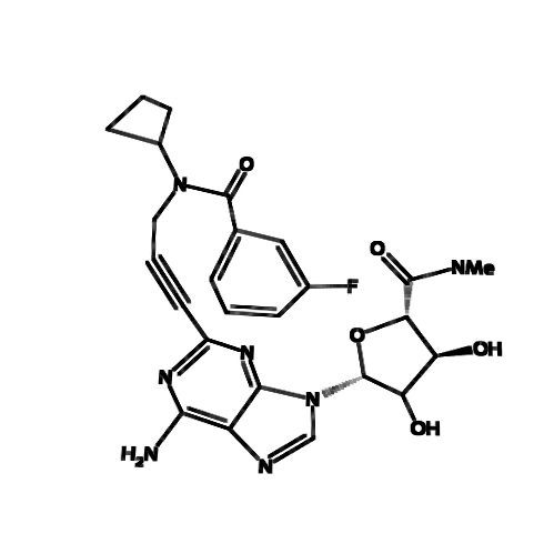 CNC(=O)[C@H]1O[C@@H](n2cnc3c(N)nc(C#CCN(C(=O)c4cccc(F)c4)C4CCC4)nc32)C(O)[C@@H]1O